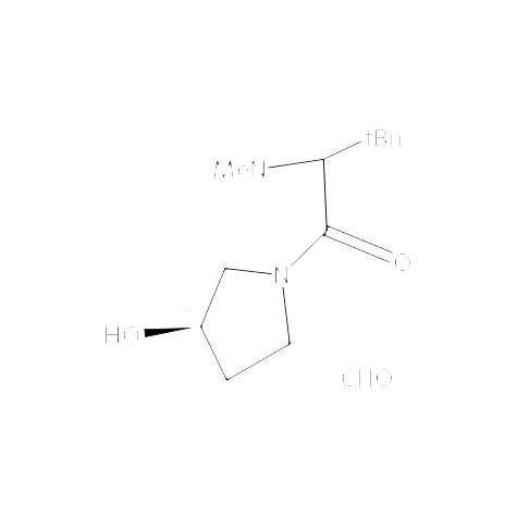 CNC(C(=O)N1C[C@H](O)C[C@H]1C=O)C(C)(C)C